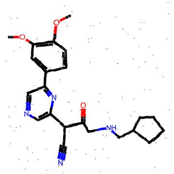 COc1ccc(-c2cncc(C(C#N)C(=O)CNCC3CCCC3)n2)cc1OC